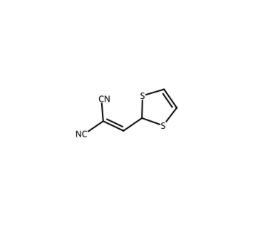 N#CC(C#N)=CC1SC=CS1